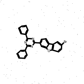 Brc1ccc2oc3cc(-c4nc(-c5ccccc5)nc(-c5ccccc5)n4)ccc3c2c1